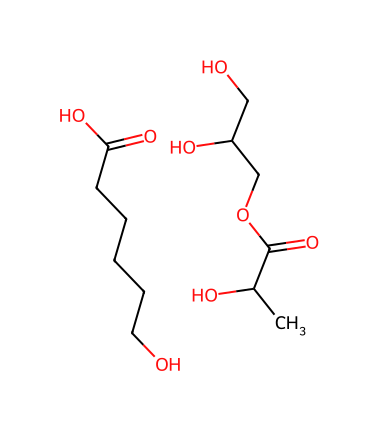 CC(O)C(=O)OCC(O)CO.O=C(O)CCCCCO